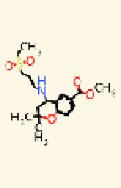 CCS(=O)(=O)CCCNC1CC(C)(C)Oc2ccc(C(=O)OC)cc21